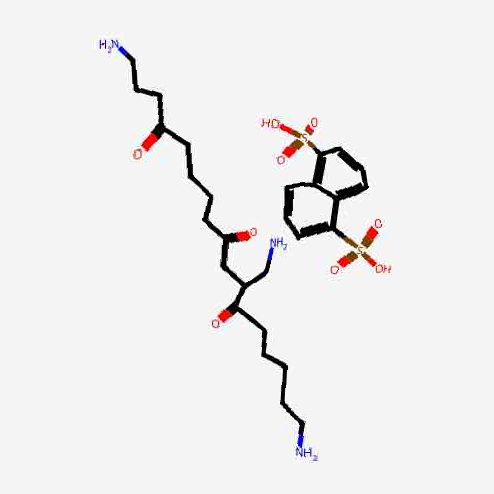 NCCCCCC(=O)C(CN)CC(=O)CCCCC(=O)CCCN.O=S(=O)(O)c1cccc2c(S(=O)(=O)O)cccc12